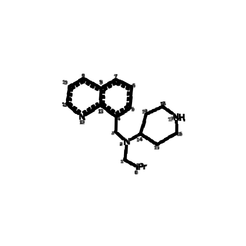 CC(C)CN(Cc1cccc2cccnc12)C1CCNCC1